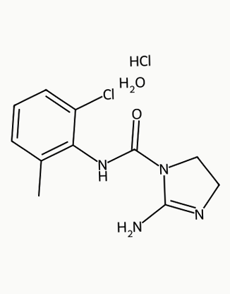 Cc1cccc(Cl)c1NC(=O)N1CCN=C1N.Cl.O